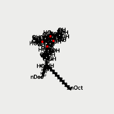 CCCCCCCC/C=C\CCCCCCCCCCCCCCCC(=O)N[C@@H](CO[C@@H]1OC(CO)[C@@H](O[C@@H]2OC(CO)[C@H](O[C@@H]3OC(CO)[C@H](O[C@@H]4OC(CO)[C@H](O)[C@H](O[C@@H]5OC(CO)[C@H](O)[C@H](O)C5O)C4NC(C)=O)[C@H](O[C@@H]4OC(CO)[C@H](O)[C@H](O[C@H]5OC(CO)[C@H](O)[C@H](O)C5NC(C)=O)C4NC(C)=O)C3O)[C@H](O)C2O)[C@H](O)C1O)[C@H](O)/C=C/CCCCCCCCCCCCC